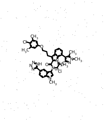 Cc1cc(OCCCc2c3n(c4c(-c5c(C)nn(C)c5C)cccc24)C(C)[C@@H](Cl)N(c2cn(C)c4ccc(-c5nnn[nH]5)cc24)C3=O)cc(C)c1Cl